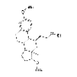 CCCCOc1ccc2c(c1)CCC1C2[C@@H](CCOCC)CC2(C)C(OCCCC)CCC12